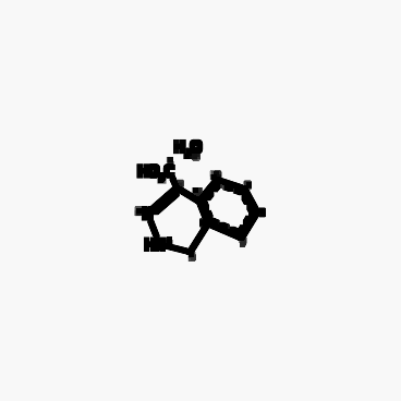 O.O=C(O)C1=NNCc2ccccc21